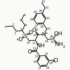 CCCC(CCC)S(=O)(=O)CC(NC(=O)c1cccc(Cl)c1)C(=O)N(Cc1cccc(CC)c1)C[C@H](N)O